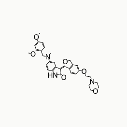 COc1ccc(CN(C)c2ccc3c(c2)/C(=C2\OCc4cc(OCCN5CCOCC5)ccc42)C(=O)N3)c(OC)c1